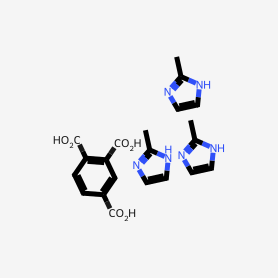 Cc1ncc[nH]1.Cc1ncc[nH]1.Cc1ncc[nH]1.O=C(O)c1ccc(C(=O)O)c(C(=O)O)c1